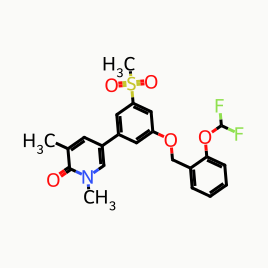 Cc1cc(-c2cc(OCc3ccccc3OC(F)F)cc(S(C)(=O)=O)c2)cn(C)c1=O